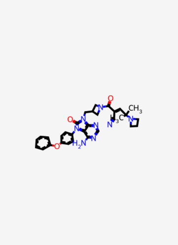 CC(C)(C=C(C#N)C(=O)N1CC(Cn2c(=O)n(-c3ccc(Oc4ccccc4)cc3)c3c(N)ncnc32)C1)N1CCC1